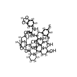 C[C@H]1CN(C(=O)[C@H](C)NC(=O)C2CCCCN2C(=O)[C@@H]2CC[C@@H](O)CN2C(=O)[C@H](CO)NC(=O)[C@H](Cc2cc(F)cc(F)c2)NC(=O)Nc2ccc3c(c2)OCO3)[C@]2(CC2=O)C1